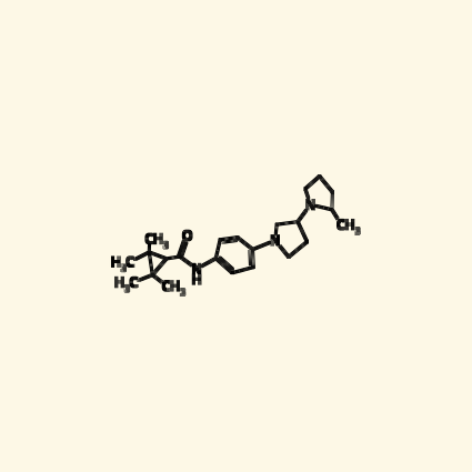 CC1CCCN1C1CCN(c2ccc(NC(=O)C3C(C)(C)C3(C)C)cc2)C1